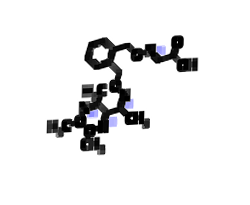 CO\N=C(C)/C(=N\OC)C(/C)=N\OCc1ccccc1CO/N=C/C(=O)O